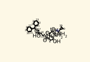 CC(C)(C)C(C(=O)N1CC(O)CC1C(=O)NCCC1(O)CN(C(c2ccccc2)c2ccccc2)C1)N(N)/C=C(\N)C1CC1